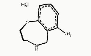 Cc1cccc2c1CNCCS2.Cl